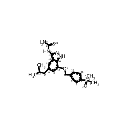 C=S(C)(=O)c1ccc(COc2cc(CC(C)C)cc3c(NC(N)=S)n[nH]c23)cc1